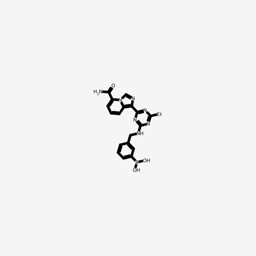 CCc1nc(NCc2cccc(B(O)O)c2)nc(-c2ncn3c(C(N)=O)cccc23)n1